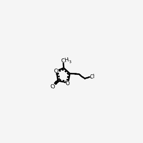 Cc1oc(=O)oc1CCCl